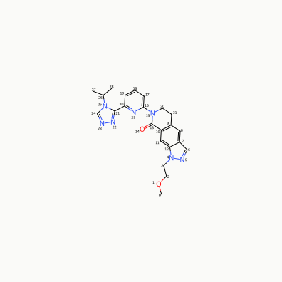 COCCn1ncc2cc3c(cc21)C(=O)N(c1cccc(-c2nncn2C(C)C)n1)CC3